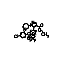 CCOC(=O)c1cnn(C2CCCN(c3cc(Cl)ccc3OS(=O)(=O)C(F)(F)F)C2)c1C(F)F